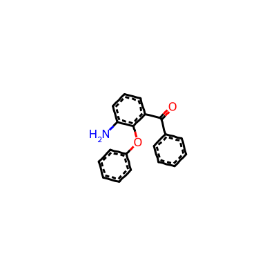 Nc1cccc(C(=O)c2ccccc2)c1Oc1ccccc1